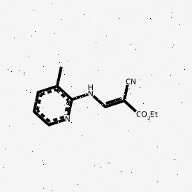 CCOC(=O)C(C#N)=CNc1ncccc1C